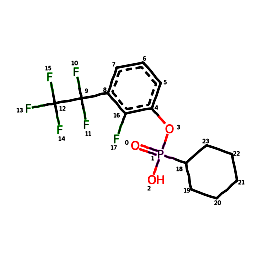 O=P(O)(Oc1cccc(C(F)(F)C(F)(F)F)c1F)C1CCCCC1